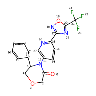 O=C1COCC(c2ccccc2)N1c1ccc(-c2noc(C(F)(F)F)n2)nc1